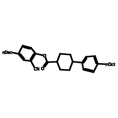 CCCCCCCCCCc1ccc(OC(=O)C2CCC(c3ccc(CCCCCCCC)cc3)CC2)c(C#N)c1